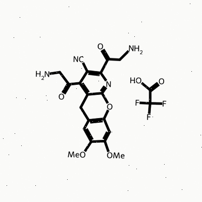 COc1cc2c(cc1OC)Oc1nc(C(=O)CN)c(C#N)c(C(=O)CN)c1C2.O=C(O)C(F)(F)F